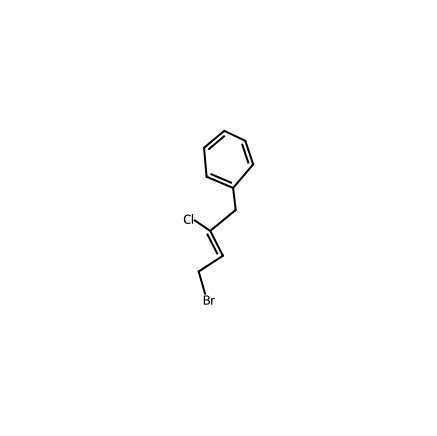 ClC(=CCBr)Cc1ccccc1